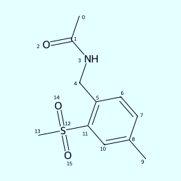 CC(=O)NCc1ccc(C)cc1S(C)(=O)=O